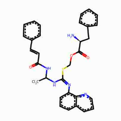 N[C@@H](Cc1ccccc1)C(=O)OCS/C(=N/c1cccc2cccnc12)NC(NC(=O)/C=C/c1ccccc1)C(Cl)(Cl)Cl